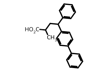 CC(CC(c1ccccc1)c1ccc(-c2ccccc2)cc1)C(=O)O